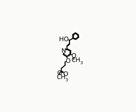 COC(=O)CCCOc1cnc(C=CC(O)c2ccccc2)cc1OC